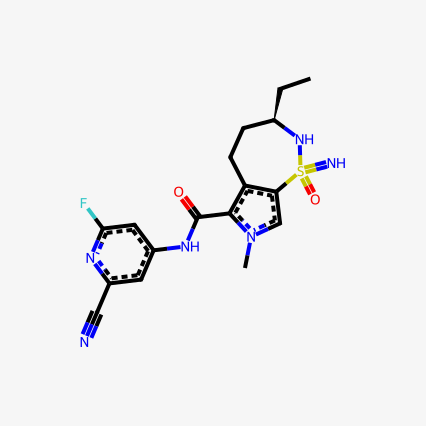 CC[C@@H]1CCc2c(cn(C)c2C(=O)Nc2cc(F)nc(C#N)c2)S(=N)(=O)N1